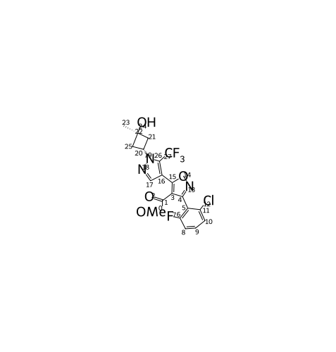 COC(=O)c1c(-c2c(F)cccc2Cl)noc1-c1cnn([C@H]2C[C@](C)(O)C2)c1C(F)(F)F